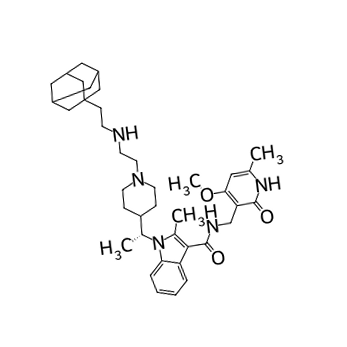 COc1cc(C)[nH]c(=O)c1CNC(=O)c1c(C)n([C@H](C)C2CCN(CCNCCC34CC5CC(CC(C5)C3)C4)CC2)c2ccccc12